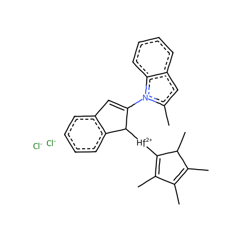 CC1=C(C)C(C)[C]([Hf+2][CH]2C(n3c(C)cc4ccccc43)=Cc3ccccc32)=C1C.[Cl-].[Cl-]